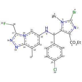 CCOC(=O)c1nc(Br)n(C(C)C)c1C(Nc1cc(C)c2nnc(CF)n2c1)c1ccc(Cl)cc1